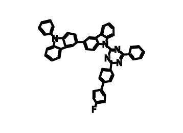 Fc1ccc(-c2ccc(-c3nc(-c4ccccc4)nc(-n4c5ccccc5c5cc(-c6ccc7c(c6)c6ccccc6n7-c6ccccc6)ccc54)n3)cc2)cc1